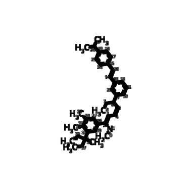 C=N/C(=C\C=C/C(CC)c1cccc(/C=C/c2ccc(C(C)C)cc2)c1)c1cc(C)c(C)c(C(C)(CC)CC)c1